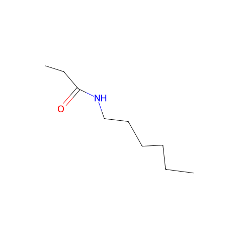 CCCCCCNC(=O)CC